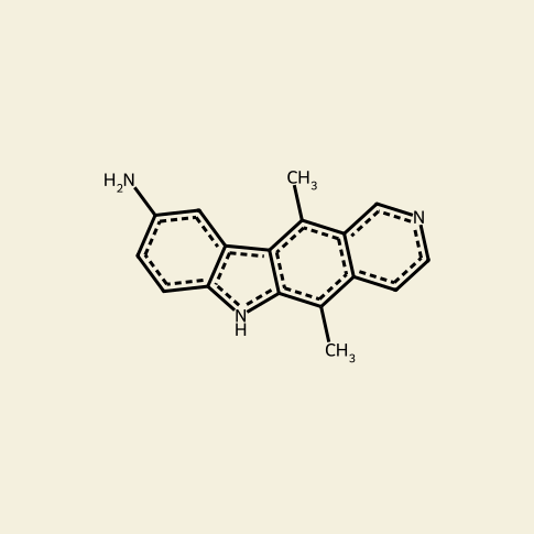 Cc1c2ccncc2c(C)c2c1[nH]c1ccc(N)cc12